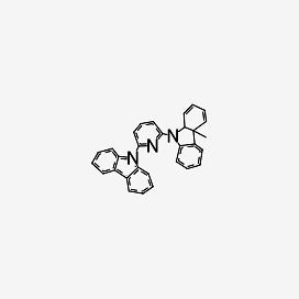 CC12C=CC=CC1N(c1cccc(-n3c4ccccc4c4ccccc43)n1)c1ccccc12